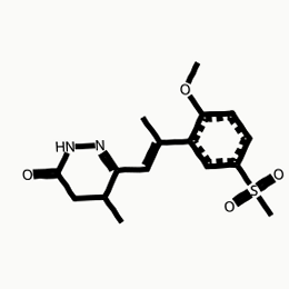 COc1ccc(S(C)(=O)=O)cc1C(C)=CC1=NNC(=O)CC1C